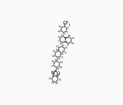 FC(F)(F)c1ccc(-c2ccc(-c3ccc4cc(-c5ccc(-c6nc7ccccc7o6)cc5)ccc4c3)c3ccccc23)cc1